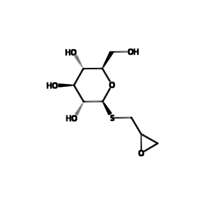 OC[C@H]1O[C@@H](SCC2CO2)[C@H](O)[C@@H](O)[C@@H]1O